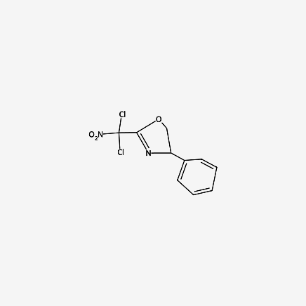 O=[N+]([O-])C(Cl)(Cl)C1=NC(c2ccccc2)CO1